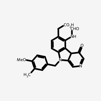 COc1ccc(CN2C3=CN=CC(=O)C3c3c2ccc(CC(=O)O)c3NC=O)cc1C